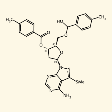 CSc1nn([C@H]2C[C@H](OC(=O)c3ccc(C)cc3)[C@@H](COC(O)c3ccc(C)cc3)O2)c2ncnc(N)c12